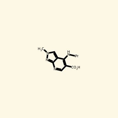 CC(C)Nc1c(C(=O)O)cnc2nn(C)cc12